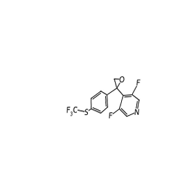 Fc1cncc(F)c1C1(c2ccc(SC(F)(F)F)cc2)CO1